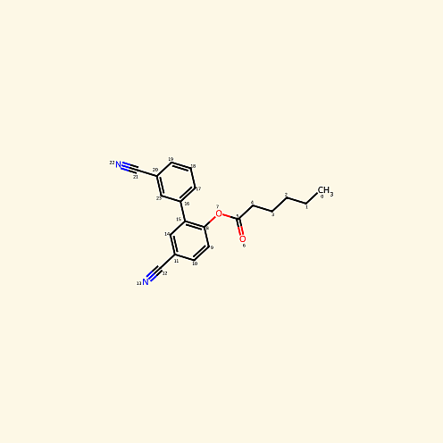 CCCCCC(=O)Oc1ccc(C#N)cc1-c1cccc(C#N)c1